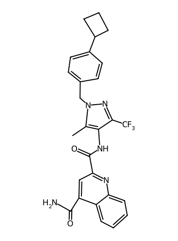 Cc1c(NC(=O)c2cc(C(N)=O)c3ccccc3n2)c(C(F)(F)F)nn1Cc1ccc(C2CCC2)cc1